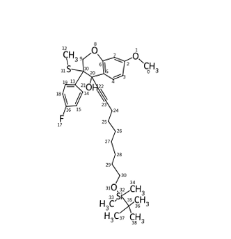 COc1ccc2c(c1)OCC(SC)(c1ccc(F)cc1)C2(O)C#CCCCCCCCO[Si](C)(C)C(C)(C)C